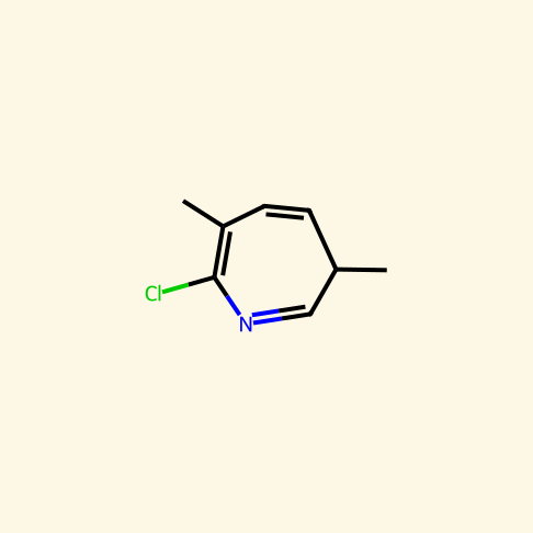 CC1=C(Cl)N=CC(C)C=C1